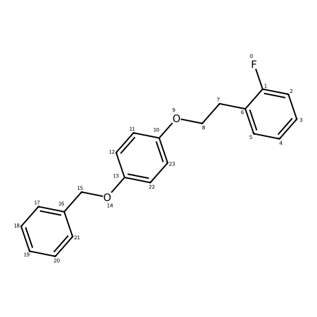 Fc1ccccc1CCOc1ccc(OCc2ccccc2)cc1